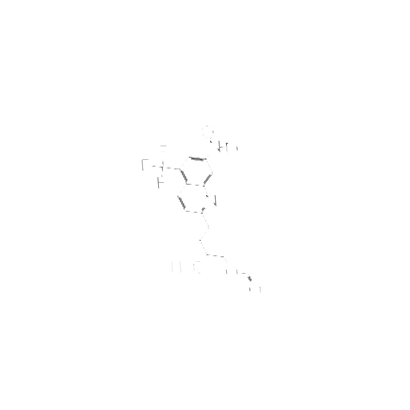 CC(CCc1ccc2c(C(F)(F)F)cc([N+](=O)[O-])cc2n1)COC=O